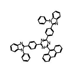 c1ccc(-n2c(-c3ccc(-c4nc(-c5ccc(-c6nc7ccccc7n6-c6ccccc6)cc5)nc(-c5c6ccccc6cc6ccccc56)n4)cc3)nc3ccccc32)cc1